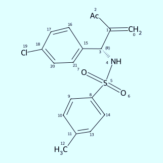 C=C(C(C)=O)[C@H](NS(=O)(=O)c1ccc(C)cc1)c1ccc(Cl)cc1